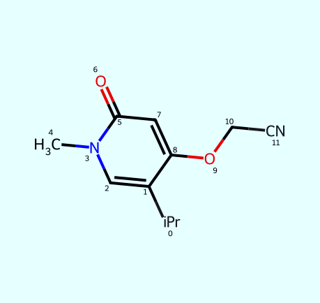 CC(C)c1cn(C)c(=O)cc1OCC#N